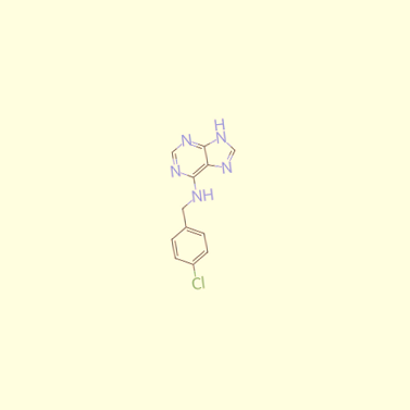 Clc1ccc(CNc2ncnc3[nH]cnc23)cc1